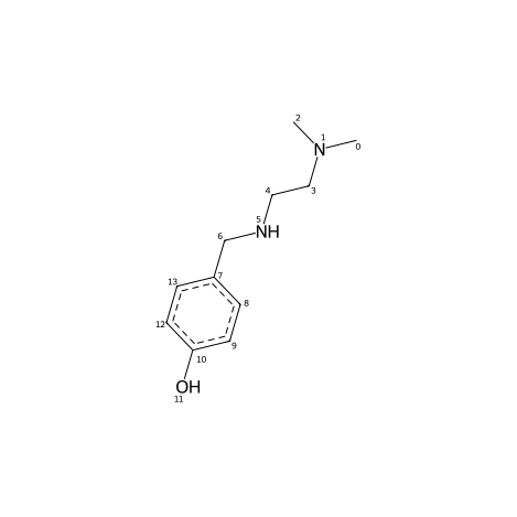 CN(C)CCNCc1ccc(O)cc1